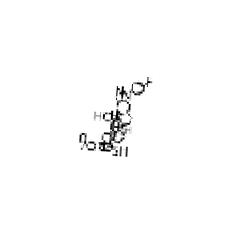 CC(=O)OCC(=O)O[C@]1(C(=O)S)CC[C@H]2[C@@H]3CCC4=Cc5c(cnn5-c5ccc(F)cc5)C[C@]4(C)[C@H]3[C@@H](O)C[C@@]21C